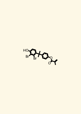 C=C(C)C(=O)Oc1ccc(C(C)(C)c2ccc(O)c(Br)c2Br)cc1